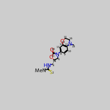 CNC(=S)NC[C@H]1CN(c2ccc3c(c2)OCCN3C)C(=O)O1